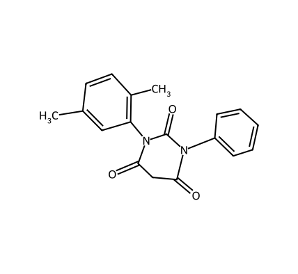 Cc1ccc(C)c(N2C(=O)CC(=O)N(c3ccccc3)C2=O)c1